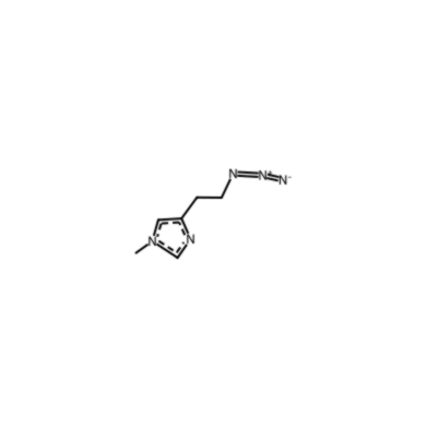 Cn1cnc(CCN=[N+]=[N-])c1